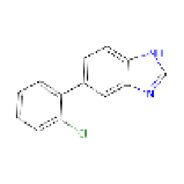 Clc1ccccc1-c1ccc2[nH]cnc2c1